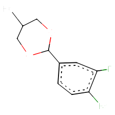 CCC1COC(c2ccc(Br)c(F)c2)OC1